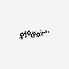 COCCC(=O)Nc1cccc(-c2cnn3c(-c4cccc(NC(=O)c5cccc(C(F)(F)F)c5)c4)ccnc23)c1